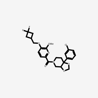 COc1nc(C(=O)N2CCC3(c4cccc(Cl)c4)OCOC3C2)ccc1OCC1CC(F)(F)C1